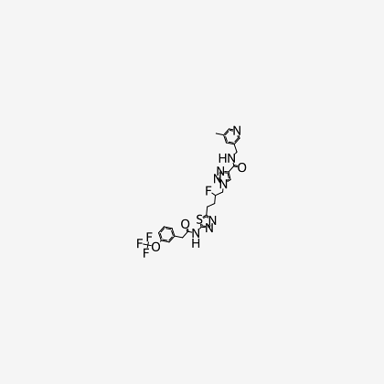 Cc1cncc(CNC(=O)c2cn(CC(F)CCc3nnc(NC(=O)Cc4cccc(OC(F)(F)F)c4)s3)nn2)c1